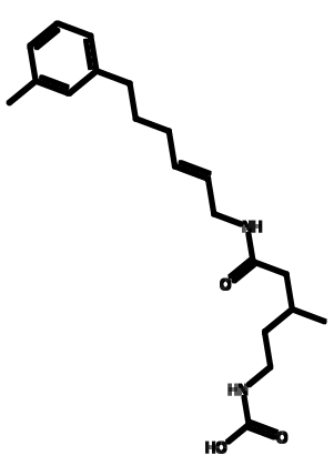 Cc1cccc(CCCC=CCNC(=O)CC(C)CCNC(=O)O)c1